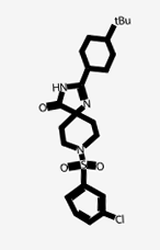 CC(C)(C)C1CCC(C2=NC3(CCN(S(=O)(=O)c4cccc(Cl)c4)CC3)C(=O)N2)CC1